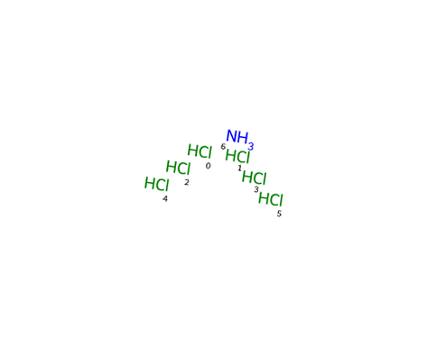 Cl.Cl.Cl.Cl.Cl.Cl.N